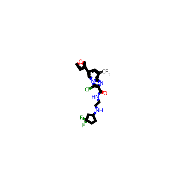 O=C(NCCNC1CCC(F)(F)C1)c1nc2c(C(F)(F)F)cc(-c3ccoc3)cn2c1Cl